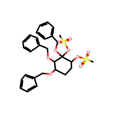 CS(=O)(=O)O[C]1CCC(OCc2ccccc2)C(OCc2ccccc2)C1(OCc1ccccc1)OS(C)(=O)=O